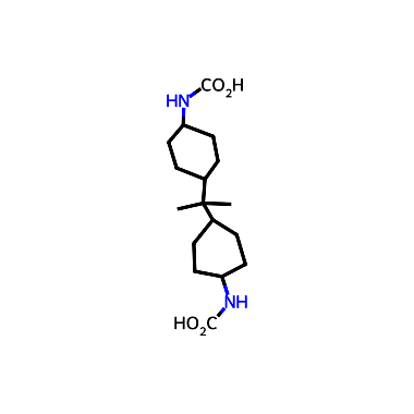 CC(C)(C1CCC(NC(=O)O)CC1)C1CCC(NC(=O)O)CC1